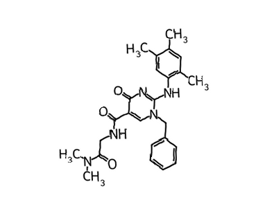 Cc1cc(C)c(Nc2nc(=O)c(C(=O)NCC(=O)N(C)C)cn2Cc2ccccc2)cc1C